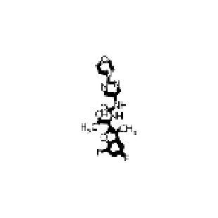 Cc1c(C(NC(=O)Nc2cnc(N3CCOCC3)nc2)C(C)C)oc2c(F)cc(F)cc12